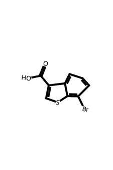 O=C(O)c1csc2c(Br)cccc12